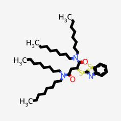 CCCCCCCCN(CCCCCCCC)C(=O)CC(Sc1nc2ccccc2s1)C(=O)N(CCCCCCCC)CCCCCCCC